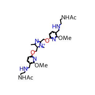 COc1nc(OCC2=[N+](C)C(COc3ccc(CNCCNC(C)=O)c(OC)n3)C(C)=N2)ccc1CNCCNC(C)=O